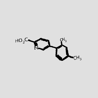 Cc1ccc(-c2ccc(C(=O)O)nc2)c(C)c1